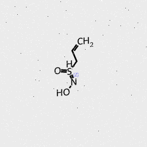 C=CC/[SH](=O)=N/O